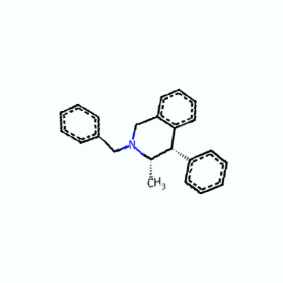 C[C@H]1[C@@H](c2ccccc2)c2ccccc2CN1Cc1ccccc1